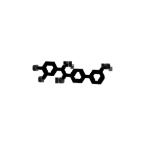 NC(c1ccc(Cl)c(Cl)c1)C(O)c1ccc(-c2cccc([N+](=O)[O-])c2)cc1